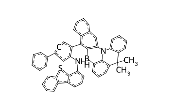 CC1(C)c2ccccc2N2c3cc4ccccc4c(-c4ccc(-c5ccccc5)cc4Nc4cccc5c4sc4ccccc45)c3Bc3cccc1c32